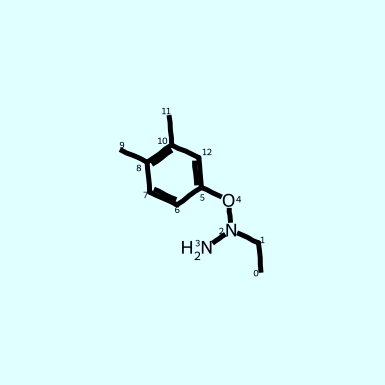 CCN(N)Oc1ccc(C)c(C)c1